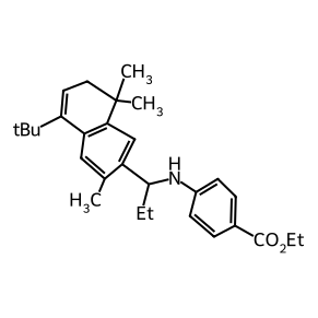 CCOC(=O)c1ccc(NC(CC)c2cc3c(cc2C)C(C(C)(C)C)=CCC3(C)C)cc1